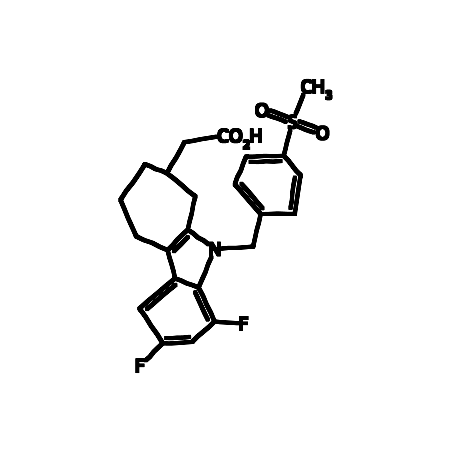 CS(=O)(=O)c1ccc(Cn2c3c(c4cc(F)cc(F)c42)CCCC(CC(=O)O)C3)cc1